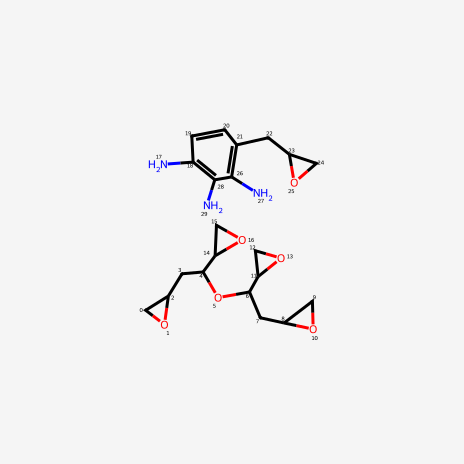 C1OC1CC(OC(CC1CO1)C1CO1)C1CO1.Nc1ccc(CC2CO2)c(N)c1N